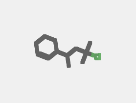 CC(CC(C)(C)Cl)C1C=CCCC1